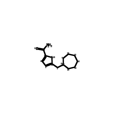 NC(=O)c1ccc(CN2CCCCCC2)s1